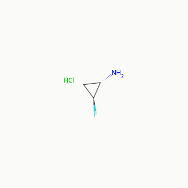 Cl.N[C@H]1C[C@@H]1F